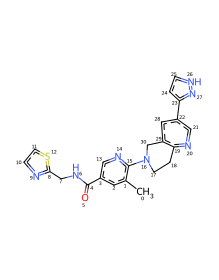 Cc1cc(C(=O)NCc2nccs2)cnc1N1CCc2ncc(-c3cc[nH]n3)cc2C1